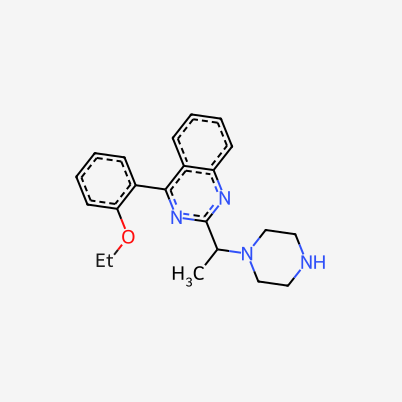 CCOc1ccccc1-c1nc(C(C)N2CCNCC2)nc2ccccc12